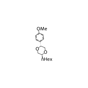 CCCCCC[C@H]1CO[C@H](c2ccc(OC)cc2)CO1